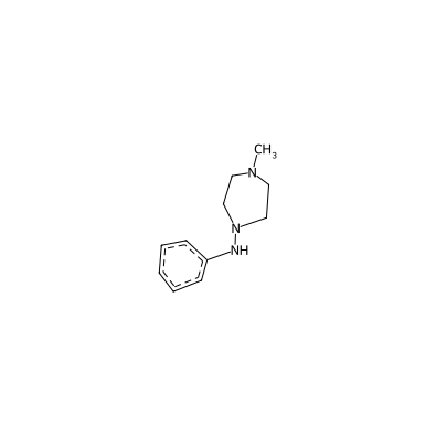 CN1CCN(Nc2ccccc2)CC1